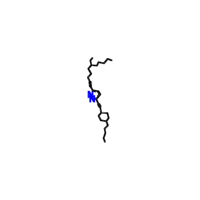 CCCCCC(CC)CCCC#Cc1ccc(C#CC2CCC(CCCCC)CC2)nn1